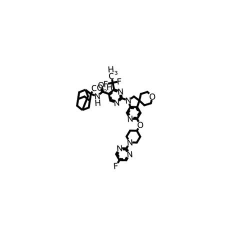 CC(F)(F)c1nc(N2CC3(CCOCC3)c3cc(OC4CCN(c5ncc(F)cn5)CC4)ncc32)ncc1C(=O)NC1(C(=O)O)C2CC3CC(C2)CC1C3